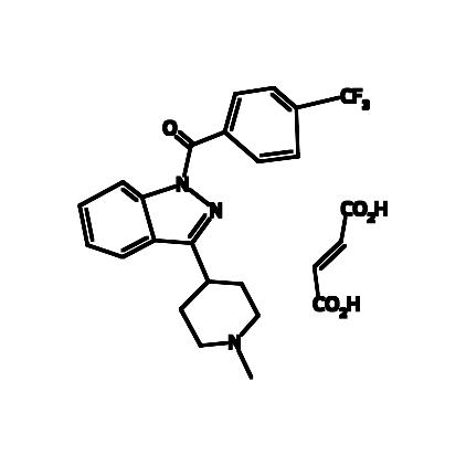 CN1CCC(c2nn(C(=O)c3ccc(C(F)(F)F)cc3)c3ccccc23)CC1.O=C(O)C=CC(=O)O